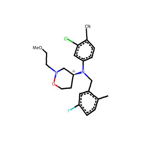 COCCN1C[C@@H](N(Cc2cc(F)ccc2C)c2ccc(C#N)c(Cl)c2)CCO1